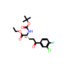 CCOC(=O)[C@@H](CCC(=O)c1ccc(F)c(Cl)c1)NC(=O)OC(C)(C)C